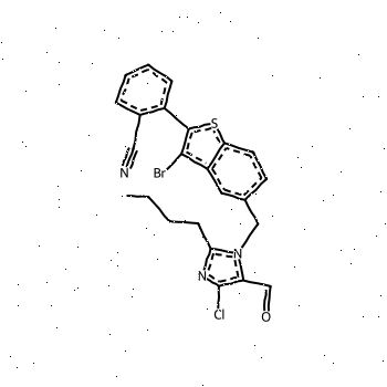 CCCCc1nc(Cl)c(C=O)n1Cc1ccc2sc(-c3ccccc3C#N)c(Br)c2c1